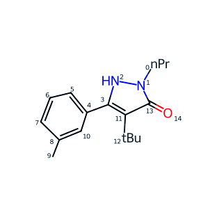 CCCn1[nH]c(-c2cccc(C)c2)c(C(C)(C)C)c1=O